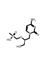 CP(=O)(O)CO[C@H](CO)Cn1ccc(N)nc1=O